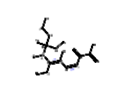 C=C(C)C(=C)/C=C\C(C)=C(/CC)N(C)C(C)(CC)CCC